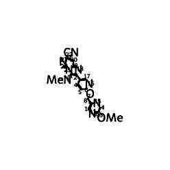 CNc1c(-c2ccc(OCc3cnc(OC)cn3)nc2)nc2cc(C#N)ncn12